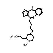 COCCC1CN(CCCCC2=Nc3ccccc3Nc3scnc32)CCN1C